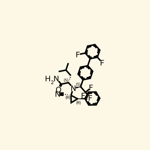 CC(C)C[C@@H](C(N)=O)N([C@@H](c1ccc(-c2c(F)cccc2F)cc1)C(F)(F)F)[C@]1(C#N)C[C@@H]1c1ccccc1